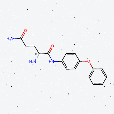 NC(=O)CC[C@@H](N)C(=O)Nc1ccc(Oc2ccccc2)cc1